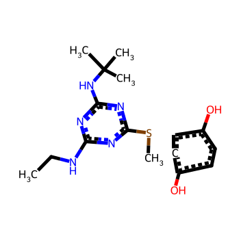 CCNc1nc(NC(C)(C)C)nc(SC)n1.Oc1ccc(O)cc1